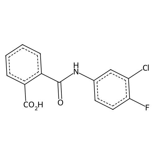 O=C(O)c1ccccc1C(=O)Nc1ccc(F)c(Cl)c1